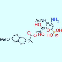 COc1ccc2cc([C@H](C)C(=O)OC[C@@H](O)[C@@H](O)[C@@H]3OC(P(=O)(O)O)=C[C@H](N)[C@H]3NC(C)=O)ccc2c1